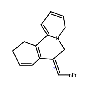 CCC/C=C1\CN2CC=CC=C2C2=C1C=CCC2